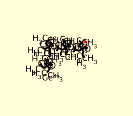 CC(C)CC(CC(C)C)(CC(C)C)C(=O)[O-].CC(C)CC(CC(C)C)(CC(C)C)C(=O)[O-].CC(C)CC(CC(C)C)(CC(C)C)C(=O)[O-].CC(C)CC(CC(C)C)(CC(C)C)C(=O)[O-].[Ge+4]